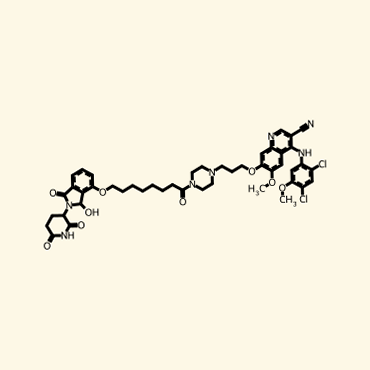 COc1cc(Nc2c(C#N)cnc3cc(OCCCN4CCN(C(=O)CCCCCCCOc5cccc6c5C(O)N(C5CCC(=O)NC5=O)C6=O)CC4)c(OC)cc23)c(Cl)cc1Cl